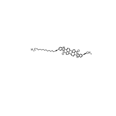 CC#Cc1ccc2nc3c4ccc5c6ccc7c(=O)n8c9cc(C#CCCCCCCCCCCCCC)ccc9nc8c8ccc(c9ccc(c(=O)n3c2c1)c4c95)c6c78